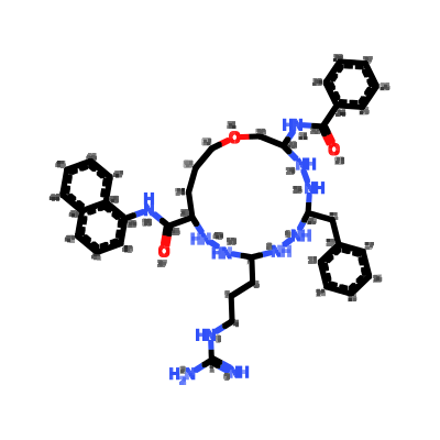 N=C(N)NCCCC1NNC(Cc2ccccc2)NNC(NC(=O)c2ccccc2)COCCCC(C(=O)Nc2cccc3ccccc23)NN1